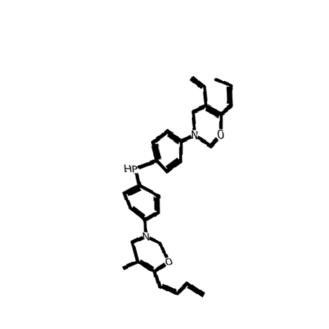 C=C/C=C\C1=C(C)CN(c2ccc(Pc3ccc(N4COC(/C=C\C)=C(C=C)C4)cc3)cc2)CO1